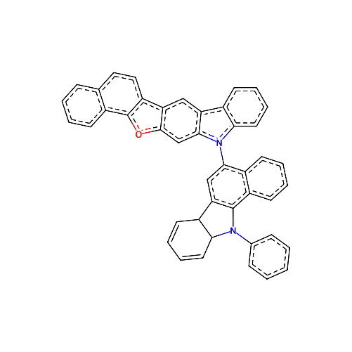 C1=CC2c3cc(-n4c5ccccc5c5cc6c(cc54)oc4c5ccccc5ccc64)c4ccccc4c3N(c3ccccc3)C2C=C1